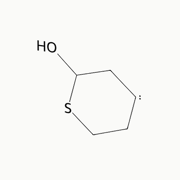 OC1C[C]CCS1